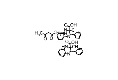 CC(=O)CC(C)=O.CC1(C(=O)O)Nc2ccccc2N=C1c1ccccc1.CC1(C(=O)O)Nc2ccccc2N=C1c1ccccc1